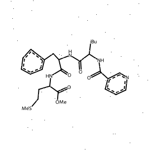 CCC(C)C(NC(=O)c1cccnc1)C(=O)NC(Cc1ccccc1)C(=O)NC(CCSC)C(=O)OC